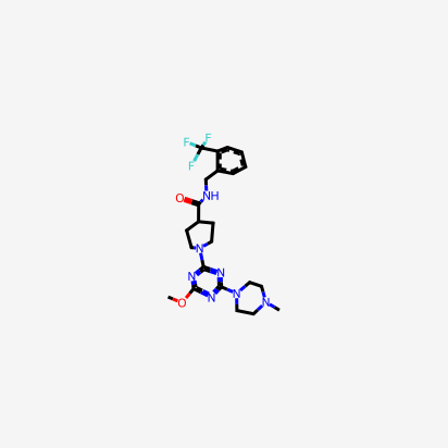 COc1nc(N2CCC(C(=O)NCc3ccccc3C(F)(F)F)CC2)nc(N2CCN(C)CC2)n1